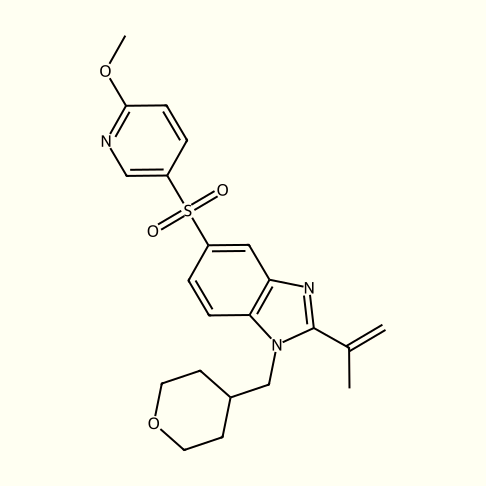 C=C(C)c1nc2cc(S(=O)(=O)c3ccc(OC)nc3)ccc2n1CC1CCOCC1